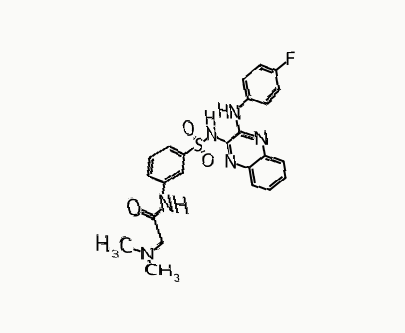 CN(C)CC(=O)Nc1cccc(S(=O)(=O)Nc2nc3ccccc3nc2Nc2ccc(F)cc2)c1